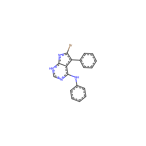 Brc1nc2[nH]cnc(Nc3ccccc3)c-2c1-c1ccccc1